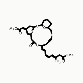 COC(=O)/C=C1\CC2CC(=O)OC(/C=C/C=C\C=C(/C)CC(=O)OC)C/C=C\CCC3CCCC(CC(C1)O2)O3